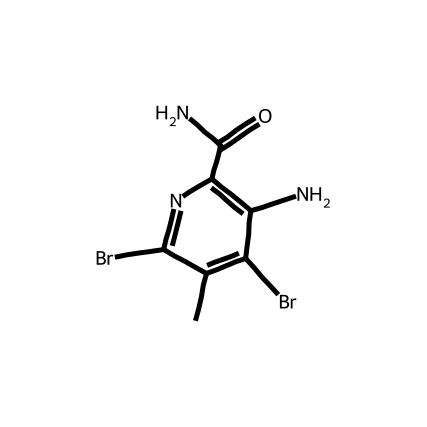 Cc1c(Br)nc(C(N)=O)c(N)c1Br